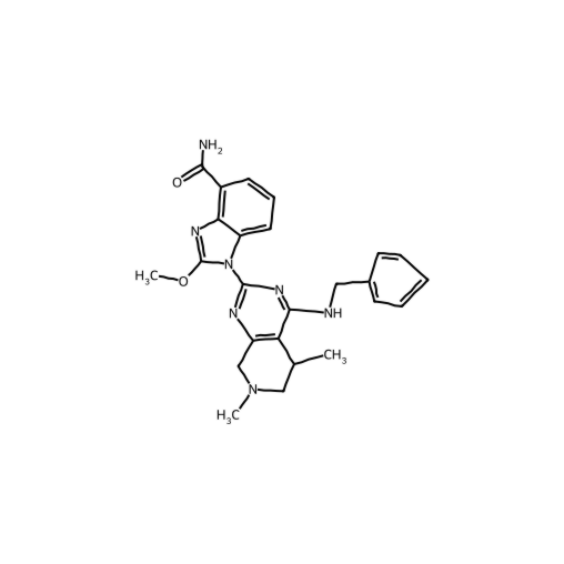 COc1nc2c(C(N)=O)cccc2n1-c1nc2c(c(NCc3ccccc3)n1)C(C)CN(C)C2